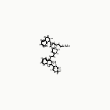 CNCCCCN(C[C@@H]1CN(CC[C@@H](NC(=O)C2CCC(F)(F)CC2)c2ccccc2)CCN1)[C@H]1CCCc2cccnc21